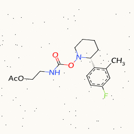 CC(=O)OCCNC(=O)ON1CCCC[C@@H]1c1ccc(F)cc1C